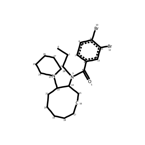 CCCN(C(=O)c1ccc(Br)c(Br)c1)C1CCCCCCCC1N1CCCCC1